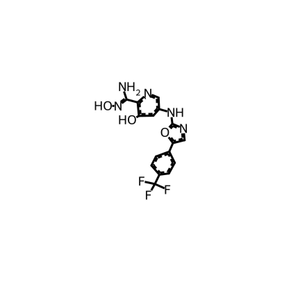 N/C(=N\O)c1ncc(Nc2ncc(-c3ccc(C(F)(F)F)cc3)o2)cc1O